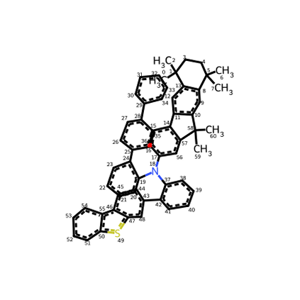 CC1(C)CCC(C)(C)c2cc3c(cc21)-c1ccc(N(c2ccccc2-c2ccc(-c4ccccc4)cc2)c2ccccc2-c2ccc4c(c2)sc2ccccc24)cc1C3(C)C